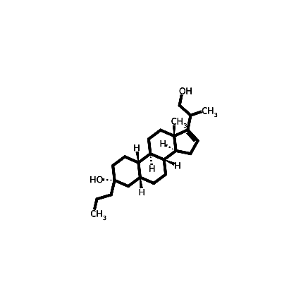 CCC[C@@]1(O)CC[C@H]2[C@H](CC[C@@H]3[C@@H]2CC[C@]2(C)C(C(C)CO)=CC[C@@H]32)C1